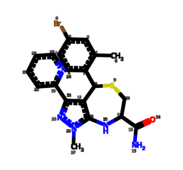 Cc1cc(Br)ccc1C1SCC(C(N)=O)Nc2c1c(-c1ccccn1)nn2C